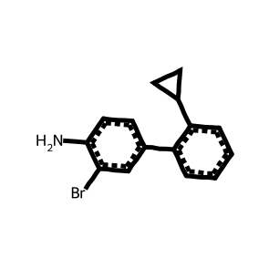 Nc1ccc(-c2ccccc2C2CC2)cc1Br